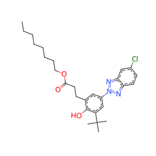 CCCCCCCCOC(=O)CCc1cc(-n2nc3ccc(Cl)cc3n2)cc(C(C)(C)C)c1O